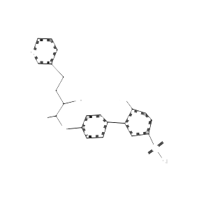 Cc1ccc(S(N)(=O)=O)cc1-c1ccc(OC(C)C(O)CCc2cccnc2)cc1